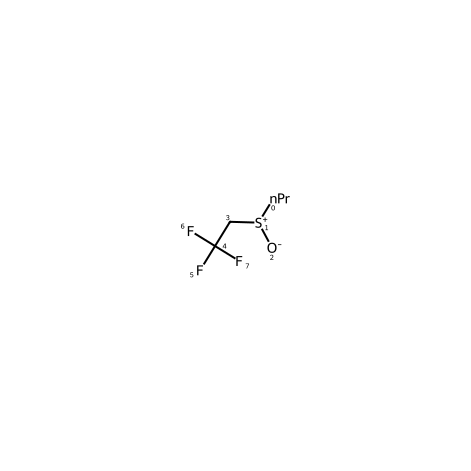 C[CH]C[S+]([O-])CC(F)(F)F